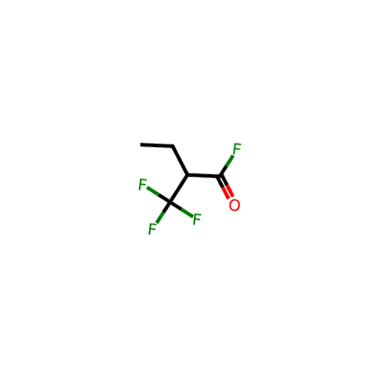 CCC(C(=O)F)C(F)(F)F